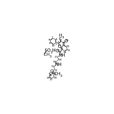 CS(=O)(=O)O.Cc1c(-c2ccccc2)oc2c(C(=O)NCCCNCCOC3(C)CC=CS3)cccc2c1=O